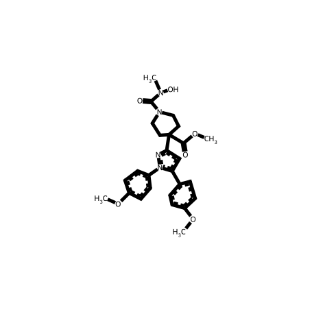 COC(=O)C1(c2cc(-c3ccc(OC)cc3)n(-c3ccc(OC)cc3)n2)CCN(C(=O)N(C)O)CC1